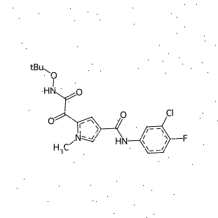 Cn1cc(C(=O)Nc2ccc(F)c(Cl)c2)cc1C(=O)C(=O)NOC(C)(C)C